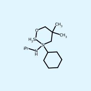 CC(C)N[Si]1(C2CCCCC2)CC(C)(C)CO[SiH2]1